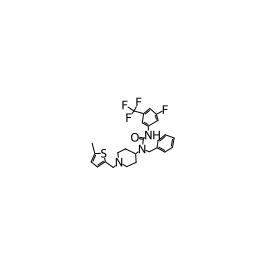 Cc1ccc(CN2CCC(N(Cc3ccccc3)C(=O)Nc3cc(F)cc(C(F)(F)F)c3)CC2)s1